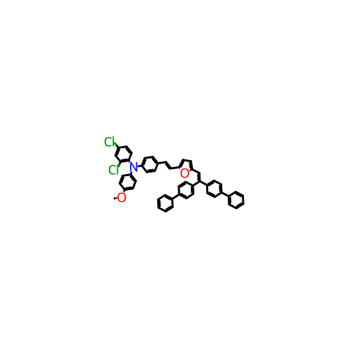 COc1ccc(N(c2ccc(C=Cc3ccc(C=C(c4ccc(-c5ccccc5)cc4)c4ccc(-c5ccccc5)cc4)o3)cc2)c2ccc(Cl)cc2Cl)cc1